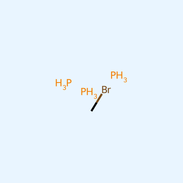 CBr.P.P.P